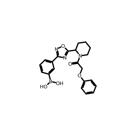 O=C(COc1ccccc1)N1CCCCC1c1nc(-c2cccc(B(O)O)c2)no1